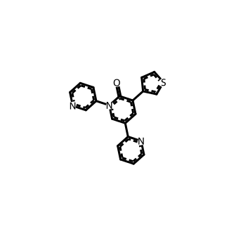 O=c1c(-c2ccsc2)cc(-c2ccccn2)cn1-c1cccnc1